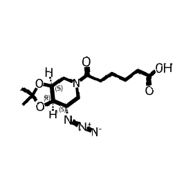 CC1(C)O[C@@H]2[C@@H](N=[N+]=[N-])CN(C(=O)CCCCC(=O)O)C[C@@H]2O1